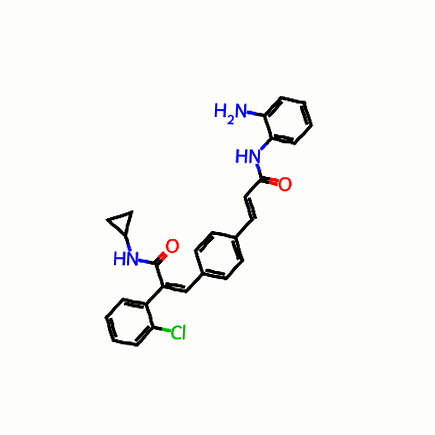 Nc1ccccc1NC(=O)/C=C/c1ccc(C=C(C(=O)NC2CC2)c2ccccc2Cl)cc1